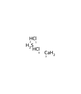 Cl.Cl.S.[CaH2]